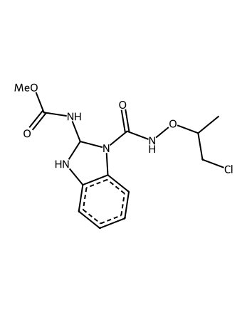 COC(=O)NC1Nc2ccccc2N1C(=O)NOC(C)CCl